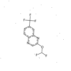 FC(F)Oc1cnc2ccc(C(F)(F)F)cc2n1